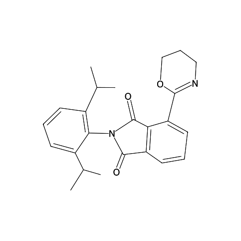 CC(C)c1cccc(C(C)C)c1N1C(=O)c2cccc(C3=NCCCO3)c2C1=O